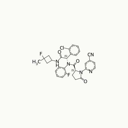 CC1(F)CC(NC(=O)[C@H](c2ccccc2Cl)N(C(=O)[C@@H]2CCC(=O)N2c2cc(C#N)ccn2)c2ccccc2F)C1